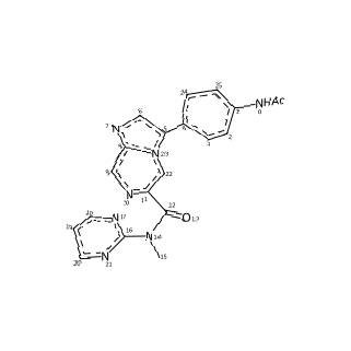 CC(=O)Nc1ccc(-c2cnc3cnc(C(=O)N(C)c4ncccn4)cn23)cc1